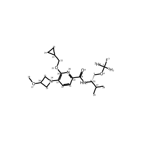 [2H]C([2H])(F)OC[C@@H](NC(=O)c1ccc(N2CC(OC)C2)c(OCC2CC2)n1)C(C)C